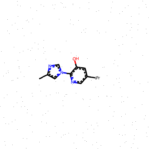 Cc1cn(-c2ncc(C(C)C)cc2O)cn1